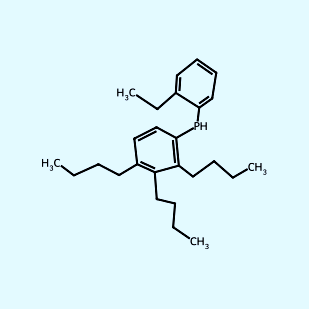 CCCCc1ccc(Pc2ccccc2CC)c(CCCC)c1CCCC